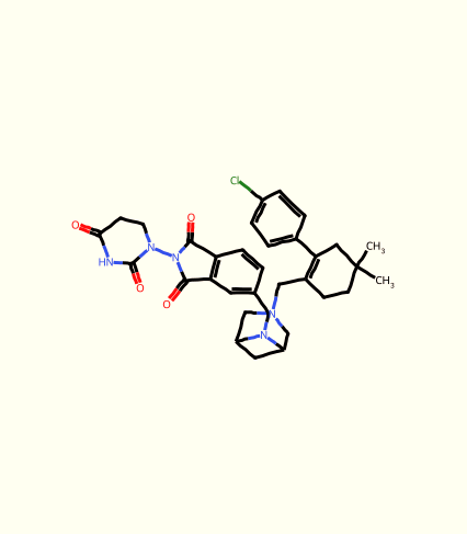 CC1(C)CCC(CN2CC3CC(C2)N3Cc2ccc3c(c2)C(=O)N(N2CCC(=O)NC2=O)C3=O)=C(c2ccc(Cl)cc2)C1